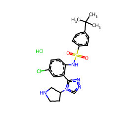 CC(C)(C)c1ccc(S(=O)(=O)Nc2ccc(Cl)cc2-c2nncn2C2CCNC2)cc1.Cl